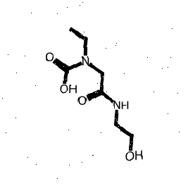 CCN(CC(=O)NCCO)C(=O)O